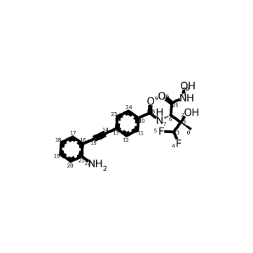 C[C@@](O)(C(F)F)[C@H](NC(=O)c1ccc(C#Cc2ccccc2N)cc1)C(=O)NO